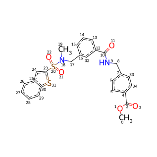 COC(=O)c1ccc(CNC(=O)c2cccc(CN(C)S(=O)(=O)c3cc4ccccc4s3)c2)cc1